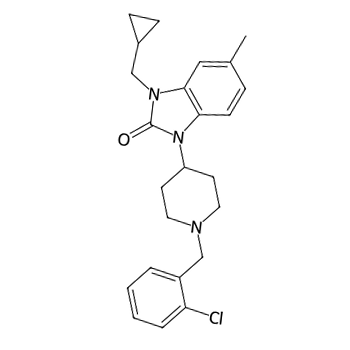 Cc1ccc2c(c1)n(CC1CC1)c(=O)n2C1CCN(Cc2ccccc2Cl)CC1